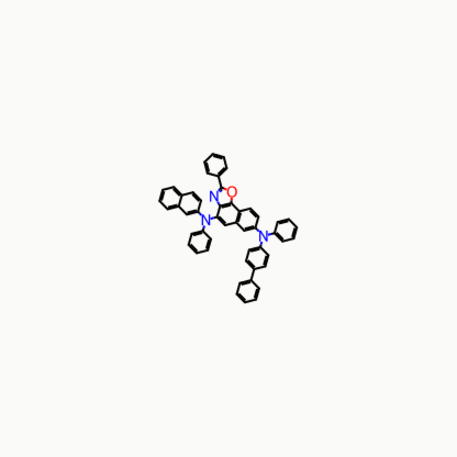 c1ccc(-c2ccc(N(c3ccccc3)c3ccc4c(c3)cc(N(c3ccccc3)c3ccc5ccccc5c3)c3nc(-c5ccccc5)oc34)cc2)cc1